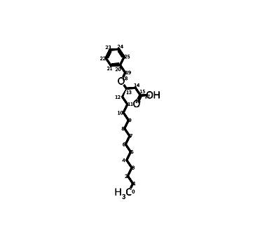 CCCCCCCCCCCCC[C@H](CC(=O)O)OCc1ccccc1